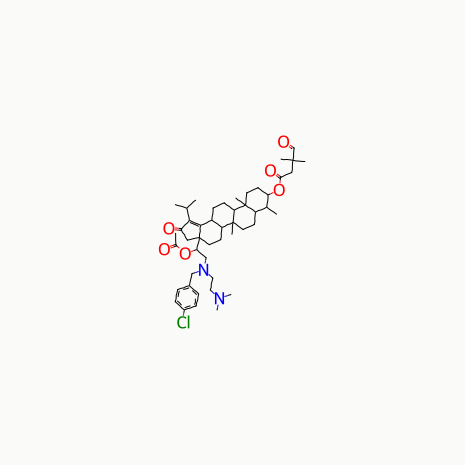 CC(=O)OC(CN(CCN(C)C)Cc1ccc(Cl)cc1)C12CCC3C(CCC4C3(C)CCC3C(C)C(OC(=O)CC(C)(C)C=O)CCC34C)C1=C(C(C)C)C(=O)C2